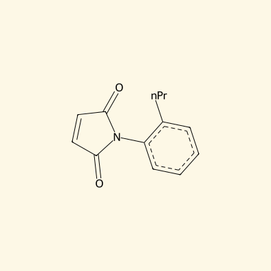 CCCc1ccccc1N1C(=O)C=CC1=O